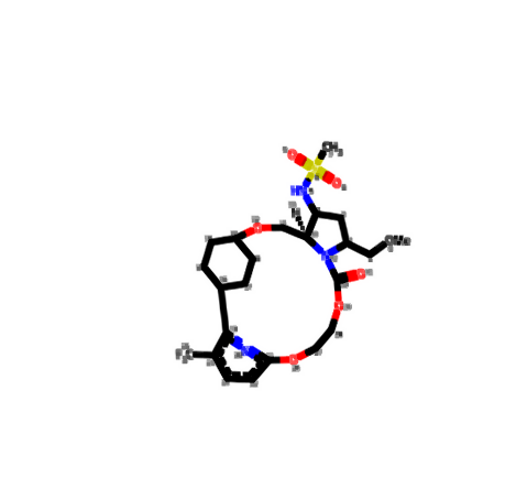 COCC1CC(NS(C)(=O)=O)[C@@H]2COC3CCC(CC3)c3nc(ccc3C(F)(F)F)OCCOC(=O)N12